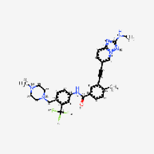 CNc1nc2ccc(C#Cc3cc(C(=O)Nc4ccc(CN5CCN(C)CC5)c(C(F)(F)F)c4)ccc3C)cn2n1